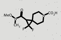 CON(C)C(=O)C1C(F)(F)C12CCN(C(=O)O)CC2